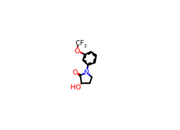 O=C1[C@@H](O)CCN1c1cccc(OC(F)(F)F)c1